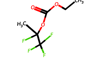 CCOC(=O)OC(C)(F)C(F)(F)F